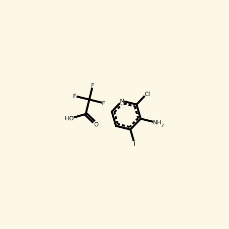 Nc1c(I)ccnc1Cl.O=C(O)C(F)(F)F